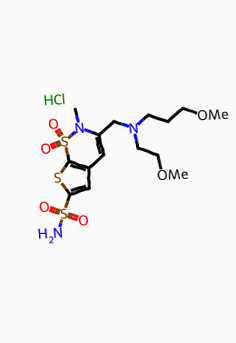 COCCCN(CCOC)CC1=Cc2cc(S(N)(=O)=O)sc2S(=O)(=O)N1C.Cl